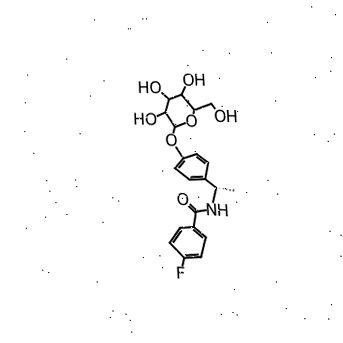 C[C@H](NC(=O)c1ccc(F)cc1)c1ccc(OC2OC(CO)C(O)C(O)C2O)cc1